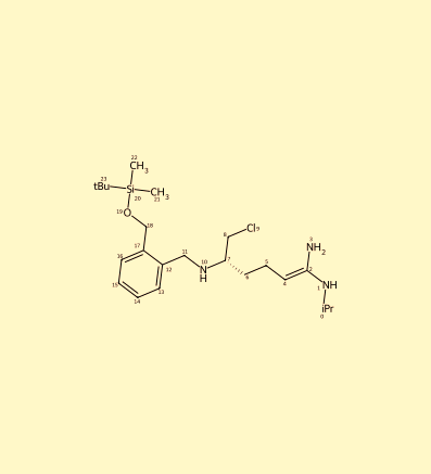 CC(C)N/C(N)=C/CC[C@@H](CCl)NCc1ccccc1CO[Si](C)(C)C(C)(C)C